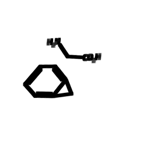 NCC(=O)O.c1ccc2c(c1)C2